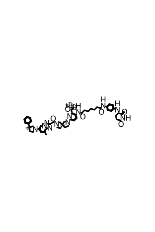 Cc1cc(N2CC[C@](C)(c3ccccc3)C2)cn2nc(C(=O)N3CC[C@@]4(CCN(c5ccc(NC(=O)CCCCCC(=O)Nc6ccc(NC7CCC(=O)NC7=O)cc6)c(C(=O)OC(C)(C)C)n5)C4)C3)nc12